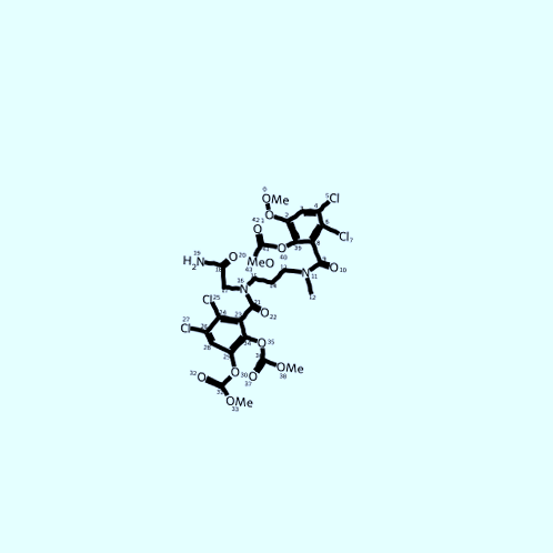 COOc1cc(Cl)c(Cl)c(C(=O)N(C)CCCN(CC(N)=O)C(=O)c2c(Cl)c(Cl)cc(OC(=O)OC)c2OC(=O)OC)c1OC(=O)OC